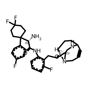 N[C@H](C(=O)Nc1cccc(F)c1CC[C@H]1CNC2C#CCN1[S+]([O-])CCC2)C1(c2ccc(F)cc2)CCC(F)(F)CC1